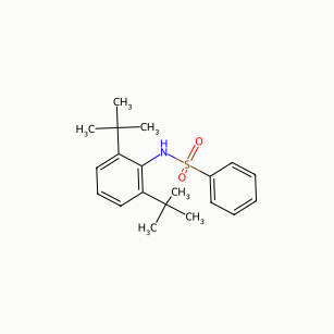 CC(C)(C)c1cccc(C(C)(C)C)c1NS(=O)(=O)c1ccccc1